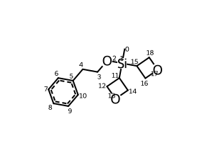 C[Si](OCCc1ccccc1)(C1COC1)C1COC1